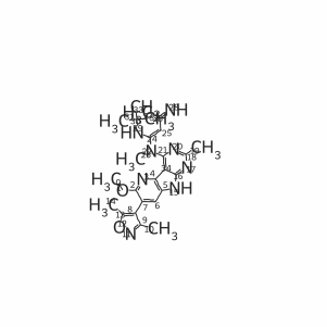 COc1nc2c(cc1-c1c(C)noc1C)[nH]c1nc(C)nc(N(C)/C(=C/C(C)=N)NC(C)(C)C)c12